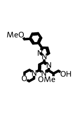 COCc1cccc(-c2ccn(-c3cc(N4CCOCC4)nc(C(CO)OC)n3)n2)c1